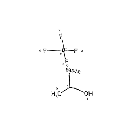 C[NH2+]C(C)O.F[B-](F)(F)F